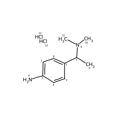 CC(c1ccc(N)cc1)N(C)C.Cl.Cl